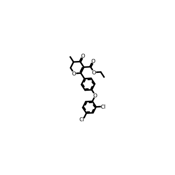 CCOC(=O)C1=C(c2ccc(Oc3ccc(Cl)cc3Cl)cc2)OCC(C)C1=O